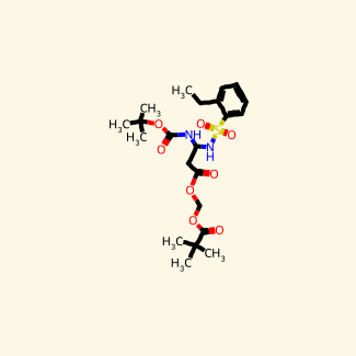 CCc1ccccc1S(=O)(=O)NC(CC(=O)OCOC(=O)C(C)(C)C)NC(=O)OC(C)(C)C